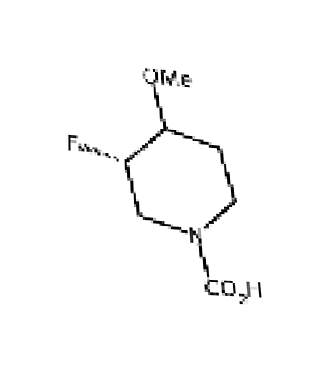 COC1CCN(C(=O)O)C[C@@H]1F